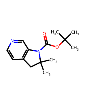 CC(C)(C)OC(=O)N1c2cnccc2CC1(C)C